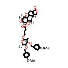 CCC1O[C@@H](OCCCC(=O)O[C@@H]2[C@@]3(C(C)C)O[C@H]3[C@@H]3O[C@]34[C@]23O[C@H]3C[C@H]2C3=C(CC[C@@]24C)C(=O)OC3)C(C)[C@@H](OCc2ccc(OC)cc2)[C@@H]1OCc1ccc(OC)cc1